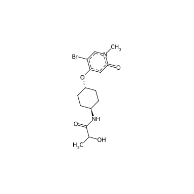 CC(O)C(=O)N[C@H]1CC[C@H](Oc2cc(=O)n(C)cc2Br)CC1